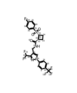 O=C(NCc1cn(-c2ccc(C(F)(F)F)cc2)nc1C(F)F)[C@@H]1CC[C@H]1S(=O)(=O)c1ccc(F)cc1